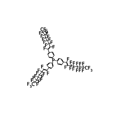 FC(=C(F)C(F)(F)C(F)(F)C(F)(F)C(F)(F)C(F)(F)C(F)(F)F)c1ccc(P(c2ccc(C(F)=C(F)C(F)(F)C(F)(F)C(F)(F)C(F)(F)C(F)(F)C(F)(F)F)cc2)c2ccc(C(F)=C(F)C(F)(F)C(F)(F)C(F)(F)C(F)(F)C(F)(F)C(F)(F)F)cc2)cc1